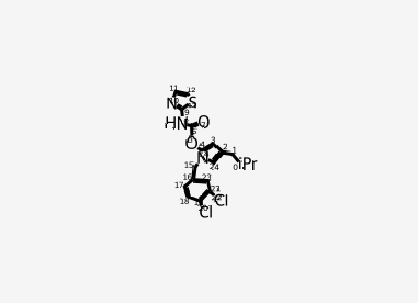 CC(C)Cc1cc(OC(=O)Nc2nccs2)n(Cc2ccc(Cl)c(Cl)c2)c1